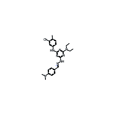 CCN(CC)c1nc(N/N=C/c2ccc(N(C)C)cc2)nc(Nc2ccc(C)c(Cl)c2)n1